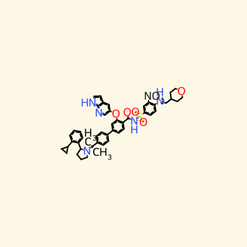 CC(C)(c1ccc(-c2ccc(C(=O)NS(=O)(=O)c3ccc(NCC4CCOCC4)c([N+](=O)[O-])c3)c(Oc3cnc4[nH]ccc4c3)c2)cc1)N1CCCC1c1ccccc1C1CC1